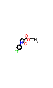 CCOC(=O)C1CCN(c2ccc(Cl)cc2)C1=O